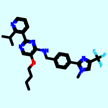 CCCCOc1cnc(-c2cccnc2C(C)C)nc1NCc1ccc(-c2nc(C(F)(F)F)cn2C)cc1